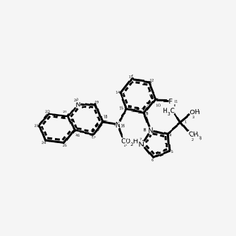 CC(C)(O)c1ccnn1-c1c(F)cccc1N(C(=O)O)c1cnc2ccccc2c1